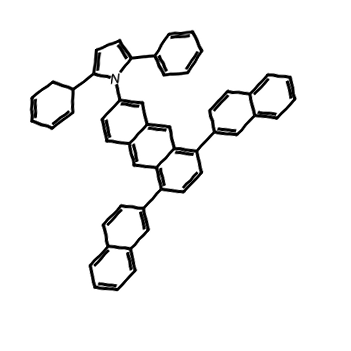 C1=CCC(c2ccc(-c3ccccc3)n2-c2ccc3cc4c(-c5ccc6ccccc6c5)ccc(-c5ccc6ccccc6c5)c4cc3c2)C=C1